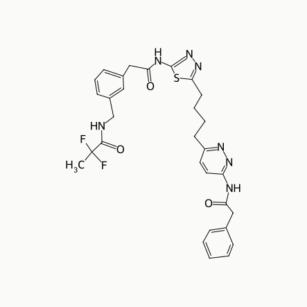 CC(F)(F)C(=O)NCc1cccc(CC(=O)Nc2nnc(CCCCc3ccc(NC(=O)Cc4ccccc4)nn3)s2)c1